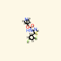 O=C(Nc1ncsc1-c1ccc(F)cc1F)OC12CCN(CC1)CC2